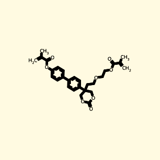 C=C(C)C(=O)OCCOCCC1(c2ccc(-c3ccc(OC(=O)C(=C)C)cc3)cc2)COC(=O)OC1